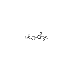 COC(=O)Cc1ccc(N2CCC(CC(OC)OC)CC2)cc1Cl